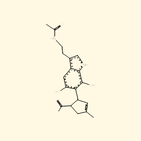 C=C(C)C1CC(C)=CC1c1c(O)cc2c(CCNC(C)=O)c[nH]c2c1O